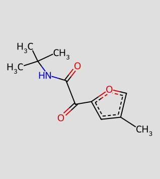 Cc1coc(C(=O)C(=O)NC(C)(C)C)c1